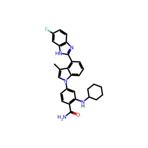 Cc1cn(-c2ccc(C(N)=O)c(NC3CCCCC3)c2)c2cccc(-c3nc4ccc(F)cc4[nH]3)c12